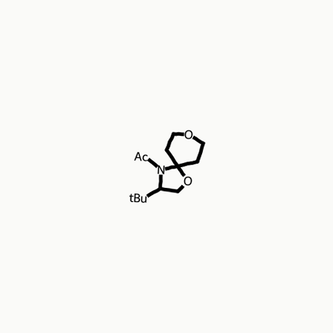 CC(=O)N1C(C(C)(C)C)COC12CCOCC2